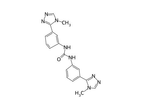 Cn1cnnc1-c1cccc(NC(=O)Nc2cccc(-c3nncn3C)c2)c1